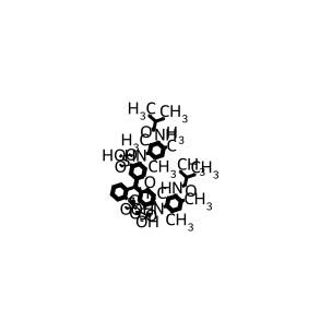 CCC(CC)C(=O)Nc1c(C)cc(C)c(/N=c2\cc3oc4cc(Nc5c(C)cc(C)c(NC(=O)C(CC)CC)c5C)c(S(=O)(=O)O)cc4c(-c4ccccc4S(=O)(=O)O)c-3cc2S(=O)(=O)O)c1C